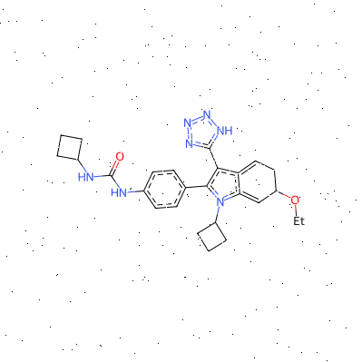 CCOC1C=c2c(c(-c3nnn[nH]3)c(-c3ccc(NC(=O)NC4CCC4)cc3)n2C2CCC2)=CC1